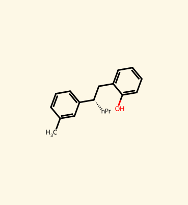 CCC[C@@H](Cc1ccccc1O)c1cccc(C)c1